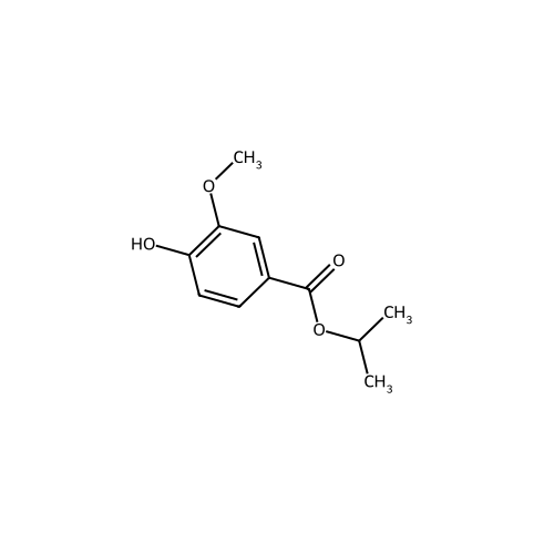 COc1cc(C(=O)OC(C)C)ccc1O